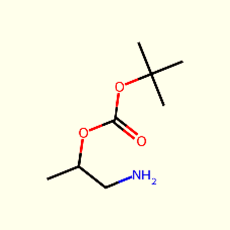 CC(CN)OC(=O)OC(C)(C)C